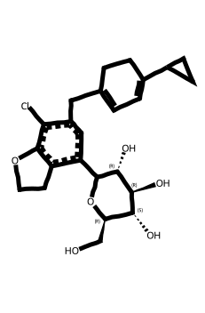 OC[C@H]1OC(c2cc(CC3=CC=C(C4CC4)CC3)c(Cl)c3c2CCO3)[C@H](O)[C@@H](O)[C@@H]1O